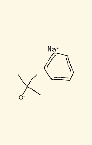 CC(C)(C)[O-].[Na+].c1ccccc1